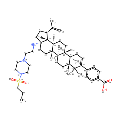 C=C(C)[C@@H]1CC[C@]2(NCCN3CCN(S(=O)(=O)CCC)CC3)CC[C@]3(C)[C@H](CC[C@@H]4[C@@]5(C)CC=C(c6ccc(C(=O)O)cc6)C(C)(C)[C@@H]5CC[C@]43C)[C@@H]12